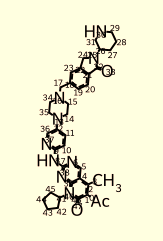 CC(=O)c1c(C)c2cnc(Nc3ccc(N4CCN(Cc5ccc6c(c5)CN(C5CCCNC5)C6=O)CC4)cn3)nc2n(C2CCCC2)c1=O